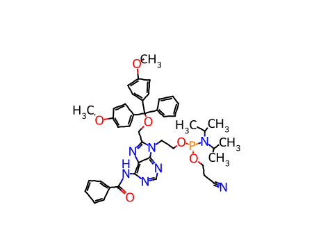 COc1ccc(C(OCc2nc3c(NC(=O)c4ccccc4)ncnc3n2CCOP(OCCC#N)N(C(C)C)C(C)C)(c2ccccc2)c2ccc(OC)cc2)cc1